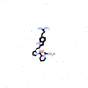 CC(C(=O)O)N1CCCCC1C(=O)N1CCC[C@H]1CCc1cc2ccc(CCC(=N)N)cc2[nH]1